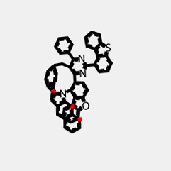 c1ccc(-c2nc(-c3cccc4sc5ccccc5c34)nc3c2Cc2ccc4c(ccc5c6cc7ccccc7cc6n(c45)-c4c-3ccc3oc5ccccc5c43)c2)cc1